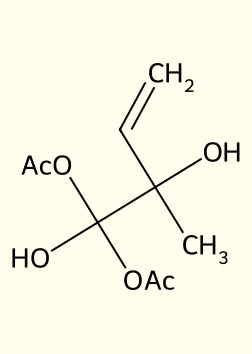 C=CC(C)(O)C(O)(OC(C)=O)OC(C)=O